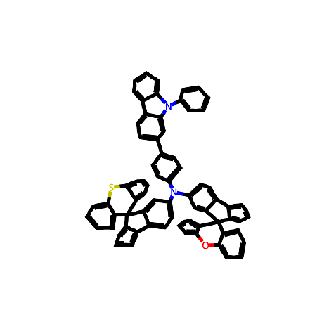 c1ccc(-n2c3ccccc3c3ccc(-c4ccc(N(c5ccc6c(c5)C5(c7ccccc7Oc7ccccc75)c5ccccc5-6)c5ccc6c(c5)C5(c7ccccc7Sc7ccccc75)c5ccccc5-6)cc4)cc32)cc1